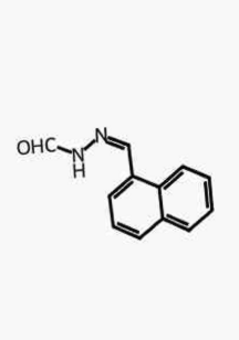 O=CN/N=C\c1cccc2ccccc12